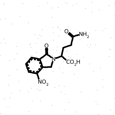 NC(=O)CCC(C(=O)O)N1Cc2c(cccc2[N+](=O)[O-])C1=O